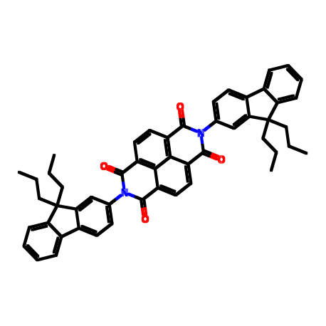 CCCC1(CCC)c2ccccc2-c2ccc(N3C(=O)c4ccc5c6c(ccc(c46)C3=O)C(=O)N(c3ccc4c(c3)C(CCC)(CCC)c3ccccc3-4)C5=O)cc21